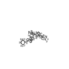 CC(C)(C)OC(=O)N1CC[C@@H]2[C@H](C1)C(F)(F)CN2C(=O)OCc1ccccc1